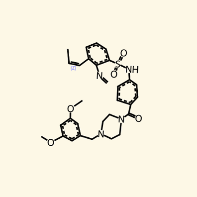 C=Nc1c(/C=C\C)cccc1S(=O)(=O)Nc1ccc(C(=O)N2CCN(Cc3cc(OC)cc(OC)c3)CC2)cc1